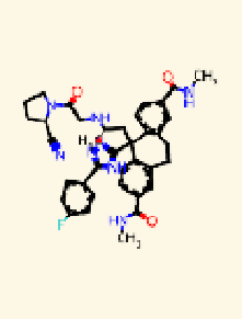 CNC(=O)c1ccc2c(c1)CCc1cc(C(=O)NC)ccc1C2(C[C@H](C)NCC(=O)N1CCCC1C#N)c1nnc(-c2ccc(F)cc2)[nH]1